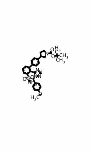 COc1ccc(Cn2nnnc2-c2c(-c3ccc(C4CCN(C(=O)OC(C)(C)C)C4)cc3)cccc2S(N)(=O)=O)cc1